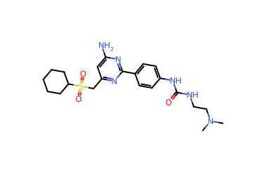 CN(C)CCNC(=O)Nc1ccc(-c2nc(N)cc(CS(=O)(=O)C3CCCCC3)n2)cc1